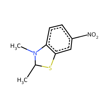 CC1Sc2cc([N+](=O)[O-])ccc2N1C